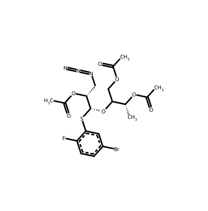 CC(=O)OCC(O[C@H](Sc1cc(Br)ccc1F)[C@@H](CN=[N+]=[N-])OC(C)=O)[C@@H](C)OC(C)=O